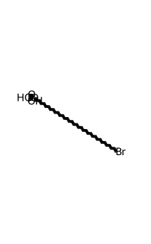 O=P(O)(O)OCCCCCCCCCCCCCCCCCCCCCCCCCCCCCCCCCCCBr